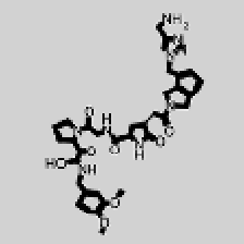 COc1ccc(CNC(O)C(=O)C2CCCN2C(=O)CNC(=O)C2C[C@@H](CC(=O)N3Cc4cccc(Cn5cc(CN)nn5)c4C3)C(=O)N2)cc1OC